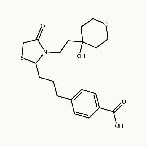 O=C(O)c1ccc(CCCC2SCC(=O)N2CCC2(O)CCOCC2)cc1